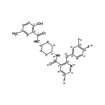 Cc1ccc(O)c(C(=O)N[C@H]2CC[C@@H](NC(=O)c3cc(F)cnc3Oc3ccc(F)c(F)c3)CC2)c1